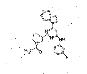 CC(=O)N1CCCC(c2nc(Nc3cccc(F)c3)cc(-c3csc4cnccc34)n2)C1